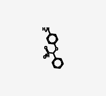 Nc1ccc(OC(c2ccccc2)[SH](=O)=O)cc1